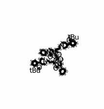 CC(C)(C)Oc1ccccc1C1CCN(CCCC[N+]2(OC(=O)C(=O)O[N+]3(CCCCN4CCC(c5ccccc5OC(C)(C)C)CC4)CCN(C4CCCCC4)C3=O)CCN(C3CCCCC3)C2=O)CC1